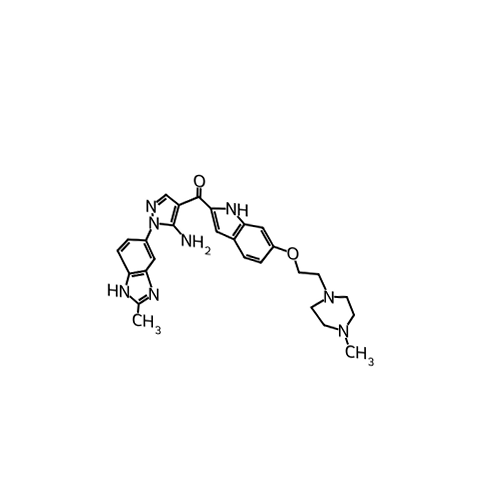 Cc1nc2cc(-n3ncc(C(=O)c4cc5ccc(OCCN6CCN(C)CC6)cc5[nH]4)c3N)ccc2[nH]1